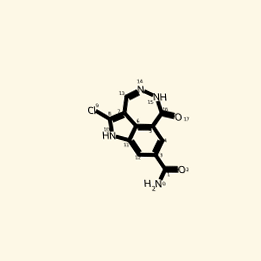 NC(=O)c1cc2c3c(c(Cl)[nH]c3c1)C=NNC2=O